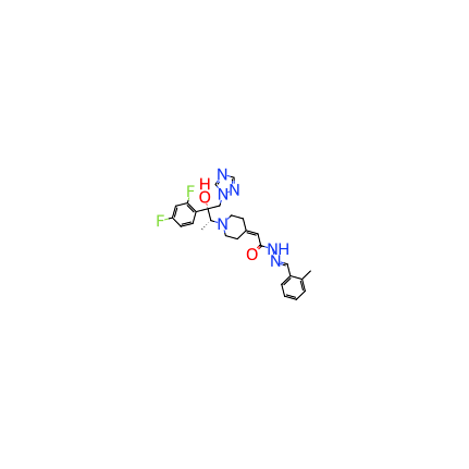 Cc1ccccc1C=NNC(=O)C=C1CCN([C@H](C)[C@](O)(Cn2cncn2)c2ccc(F)cc2F)CC1